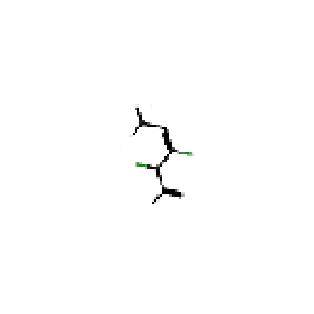 C=C(C)C(Cl)/C(Cl)=C\C(C)C